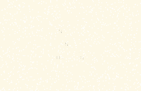 CCOC(C)N1CC[N]CC1